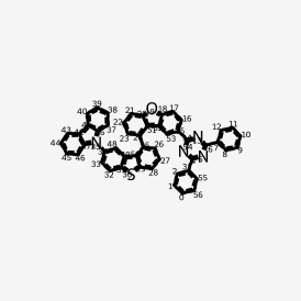 c1ccc(-c2nc(-c3ccccc3)nc(-c3ccc4oc5cccc(-c6cccc7sc8ccc(-n9c%10ccccc%10c%10ccccc%109)cc8c67)c5c4c3)n2)cc1